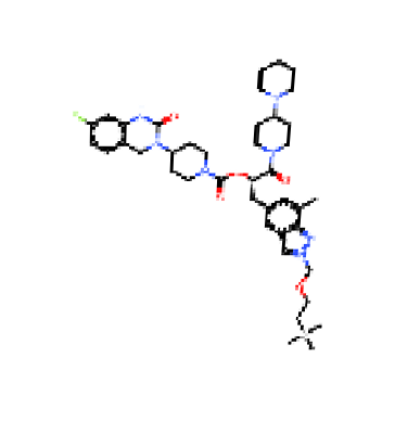 Cc1cc(C[C@@H](OC(=O)N2CCC(N3Cc4ccc(F)cc4NC3=O)CC2)C(=O)N2CCC(N3CCCCC3)CC2)cc2cn(COCC[Si](C)(C)C)nc12